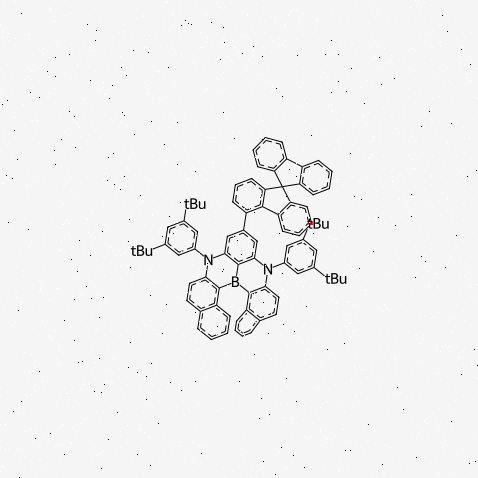 CC(C)(C)c1cc(N2c3cc(-c4cccc5c4-c4ccccc4C54c5ccccc5-c5ccccc54)cc4c3B(c3c2ccc2ccccc32)c2c(ccc3ccccc23)N4c2cc(C(C)(C)C)cc(C(C)(C)C)c2)cc(C(C)(C)C)c1